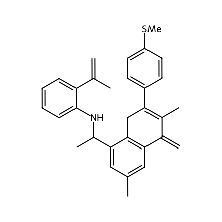 C=C(C)c1ccccc1NC(C)c1cc(C)cc2c1CC(c1ccc(SC)cc1)=C(C)C2=C